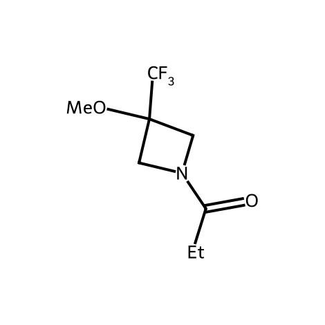 CCC(=O)N1CC(OC)(C(F)(F)F)C1